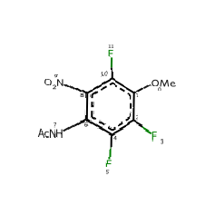 COc1c(F)c(F)c(NC(C)=O)c([N+](=O)[O-])c1F